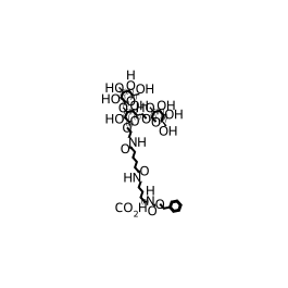 O=C(CCCCC(=O)NCCO[C@H]1O[C@H](CO[C@H]2O[C@H](CO)[C@@H](O)[C@H](O)[C@@H]2O)[C@@H](O)[C@H](O[C@H]2O[C@H](CO)[C@@H](O)[C@H](O)[C@@H]2O)[C@@H]1O)NCCCC[C@H](NC(=O)OCc1ccccc1)C(=O)O